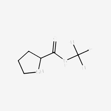 [2H]C([2H])([2H])NC(=O)C1CCCN1